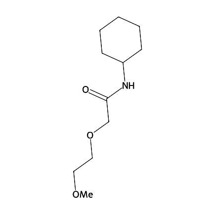 COCCOCC(=O)NC1CCCCC1